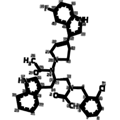 CC(=O)N(Cc1ccccc1Cl)C[C@@H](Cc1c[nH]c2ccccc12)N(C(C)=O)N1CC=C(c2c[nH]c3ccc(F)cc23)CC1